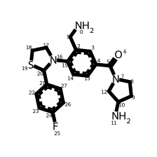 NCc1cc(C(=O)N2CCC(N)C2)ccc1N1CCSC1c1ccc(F)cc1